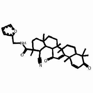 CC12CCC(C)(C(=O)NCc3ccco3)C(C#N)C1C1C(=O)C=C3C4(C)C=CC(=O)C(C)(C)C4CCC3(C)C1(C)CC2